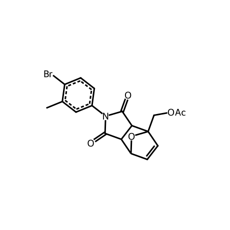 CC(=O)OCC12C=CC(O1)C1C(=O)N(c3ccc(Br)c(C)c3)C(=O)C12